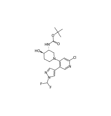 CC(C)(C)OC(=O)N[C@@H]1CN(c2cc(Cl)ncc2-c2cnn(C(F)F)c2)CC[C@H]1O